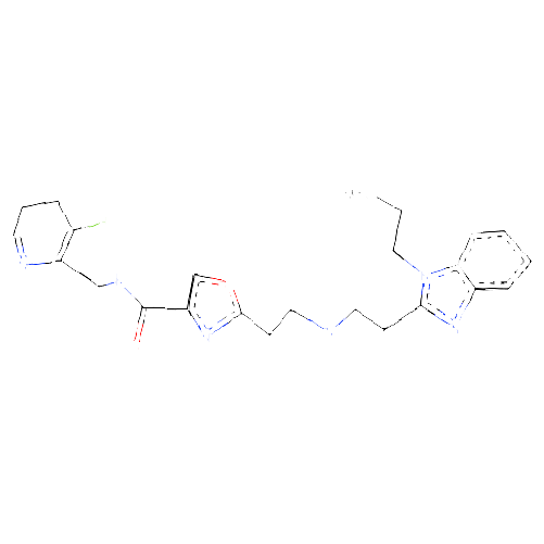 COCCn1c(CCNCCc2nc(C(=O)NCC3=C(F)CCC=N3)co2)nc2ccccc21